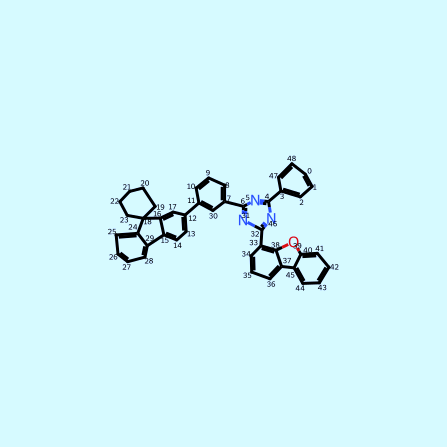 c1ccc(-c2nc(-c3cccc(-c4ccc5c(c4)C4(CCCCC4)c4ccccc4-5)c3)nc(-c3cccc4c3oc3ccccc34)n2)cc1